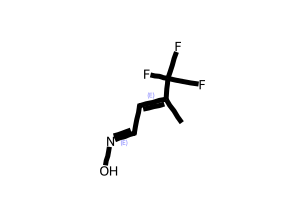 C/C(=C\C=N\O)C(F)(F)F